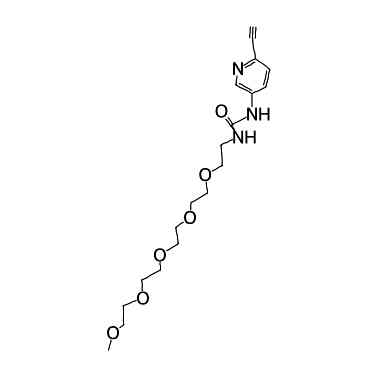 C#Cc1ccc(NC(=O)NCCOCCOCCOCCOCCOC)cn1